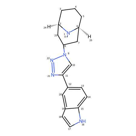 CN1[C@@H]2CCC[C@H]1CC(n1cc(-c3ccc4[nH]ccc4c3)nn1)C2